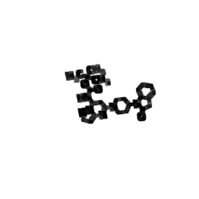 CC(C)(C)OC(=O)Nc1cc(N2CCC(N3C(=O)Cc4ccccc43)CC2)nc2ccnn12